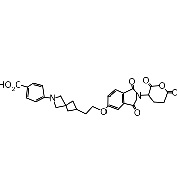 O=C1CCC(N2C(=O)c3ccc(OCCC4CC5(C4)CN(c4ccc(C(=O)O)cc4)C5)cc3C2=O)C(=O)O1